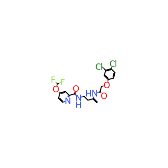 C=C(CCNC(=O)c1cc(OC(F)F)ccn1)NC(=O)COc1ccc(Cl)c(Cl)c1